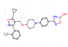 OC1NC(c2ccc(N3CCC(OCc4c(-c5ccccc5C(F)(F)F)noc4C4CC4)CC3)cc2)=NO1